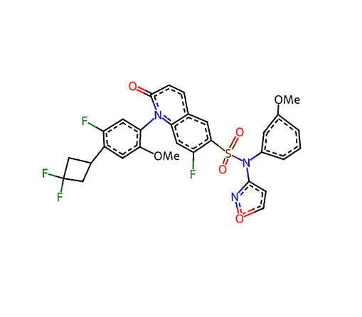 COc1cccc(N(c2ccon2)S(=O)(=O)c2cc3ccc(=O)n(-c4cc(F)c(C5CC(F)(F)C5)cc4OC)c3cc2F)c1